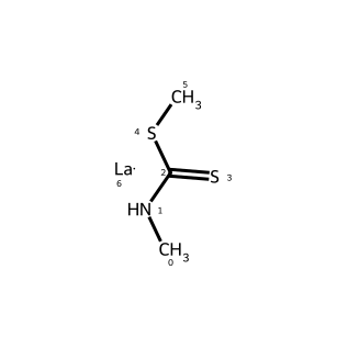 CNC(=S)SC.[La]